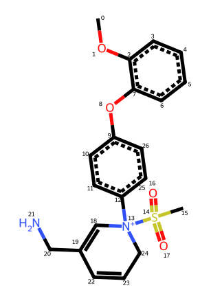 COc1ccccc1Oc1ccc([N+]2(S(C)(=O)=O)C=C(CN)C=CC2)cc1